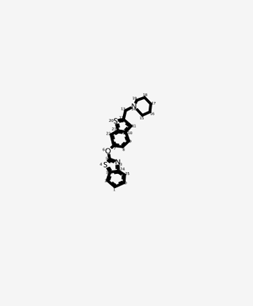 c1ccc2sc(Oc3ccc4cc(CN5CCCCC5)sc4c3)nc2c1